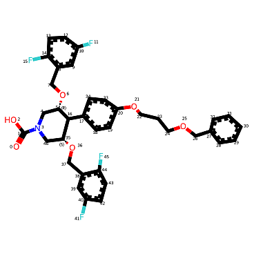 O=C(O)N1C[C@H](OCc2cc(F)ccc2F)C(c2ccc(OCCCOCc3ccccc3)cc2)[C@H](OCc2cc(F)ccc2F)C1